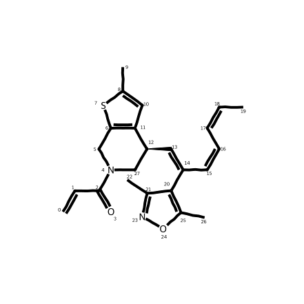 C=CC(=O)N1Cc2sc(C)cc2[C@@H](/C=C(/C=C\C=C/C)c2c(C)noc2C)C1